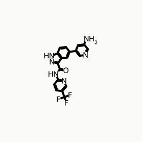 Nc1cncc(-c2ccc3[nH]nc(C(=O)Nc4ccc(C(F)(F)F)cn4)c3c2)c1